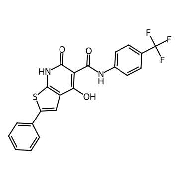 O=C(Nc1ccc(C(F)(F)F)cc1)c1c(O)c2cc(-c3ccccc3)sc2[nH]c1=O